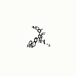 Cc1cc(-c2cc(-c3ccc4c(c3)CCNC4=O)c(N)nc2F)cc2c1CCN(C)C2